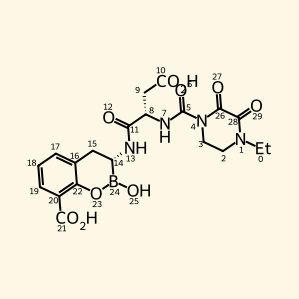 CCN1CCN(C(=O)N[C@@H](CC(=O)O)C(=O)N[C@H]2Cc3cccc(C(=O)O)c3OB2O)C(=O)C1=O